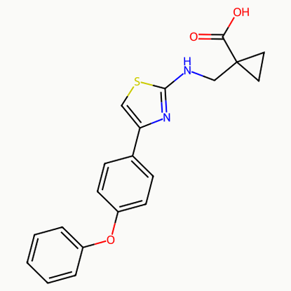 O=C(O)C1(CNc2nc(-c3ccc(Oc4ccccc4)cc3)cs2)CC1